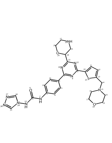 O=C(Nc1ccc(-c2nc(-c3ccc(CN4CCOCC4)s3)nc(C3CNCCO3)n2)cc1)Nn1cnnc1